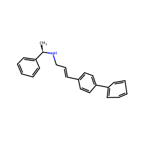 C[C@@H](NC/C=C/c1ccc(-c2ccccc2)cc1)c1ccccc1